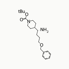 CC(C)(C)OC(=O)N1CCC([C@H](N)CCCOCc2ccccc2)CC1